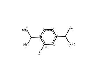 CCCCC(O)c1ccc(C(OC(C)=O)C(C)C)cc1F